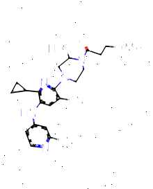 COCCC(=O)N1CCN(c2nc(C3CC3)c(Nc3ccnc(C#N)c3)cc2C#N)CC1C